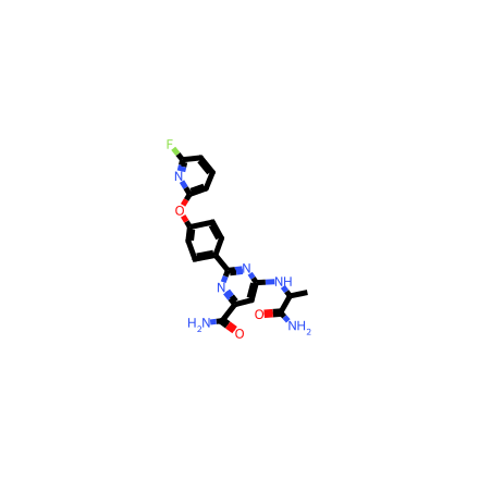 CC(Nc1cc(C(N)=O)nc(-c2ccc(Oc3cccc(F)n3)cc2)n1)C(N)=O